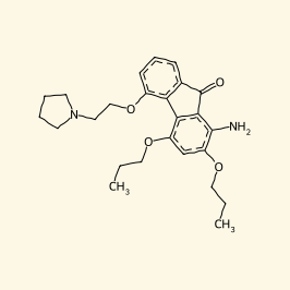 CCCOc1cc(OCCC)c2c(c1N)C(=O)c1cccc(OCCN3CCCC3)c1-2